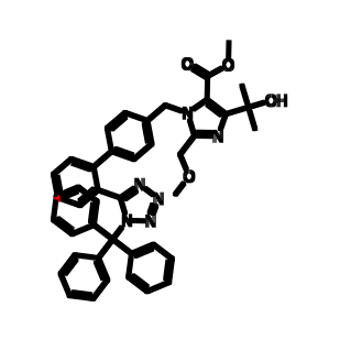 COCc1nc(C(C)(C)O)c(C(=O)OC)n1Cc1ccc(-c2ccccc2-c2nnnn2C(c2ccccc2)(c2ccccc2)c2ccccc2)cc1